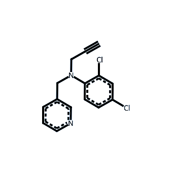 C#CCN(Cc1cccnc1)c1ccc(Cl)cc1Cl